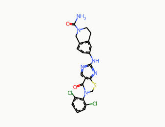 NC(=O)N1CCc2cc(Nc3ncc4c(n3)SCN(c3c(Cl)cccc3Cl)C4=O)ccc2C1